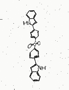 O=S(=O)(c1ccc(-c2cc3ccccc3[nH]2)cc1)c1ccc(-c2cc3ccccc3[nH]2)cc1